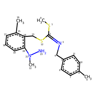 CSC(=NCc1ccc(C)cc1)SCc1c(C)cccc1N(C)N